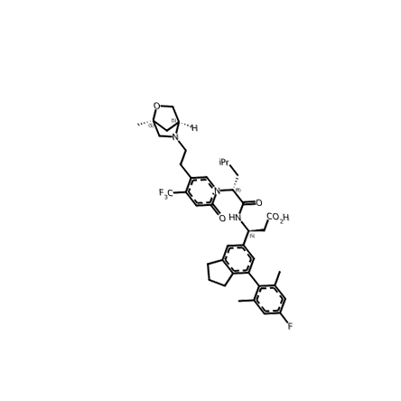 Cc1cc(F)cc(C)c1-c1cc([C@H](CC(=O)O)NC(=O)[C@@H](CC(C)C)n2cc(CCN3C[C@]4(C)C[C@H]3CO4)c(C(F)(F)F)cc2=O)cc2c1CCC2